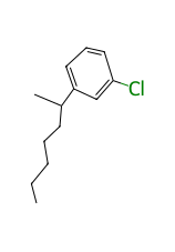 CCCCCC(C)c1cccc(Cl)c1